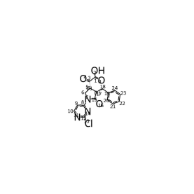 O=C(O)C(=O)[C@H]1CN(c2ccnc(Cl)n2)C(=O)[C@@H]1Cc1ccccc1